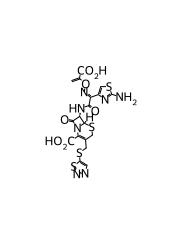 C=C(ON=C(C(=O)N[C@@H]1C(=O)N2C(C(=O)O)=C(CSc3cnns3)CS[C@@H]12)c1csc(N)n1)C(=O)O